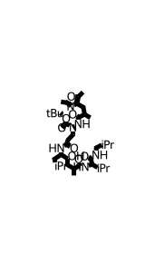 Cc1nc(CC(C)C(=O)NN(CCC(=O)NC(CC(C)C)C(O)CC(C)C(=O)NC(C(=O)NCC(C)C)C(C)C)C(=O)OC(C)(C)C)c(C)o1